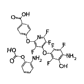 Nc1c(O)c(F)c(Oc2c(F)c(F)nc(Oc3ccc(C(=O)O)cc3)c2F)c(F)c1F.Nc1ccccc1OC(=O)O